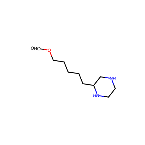 O=[C]OCCCCCC1CNCCN1